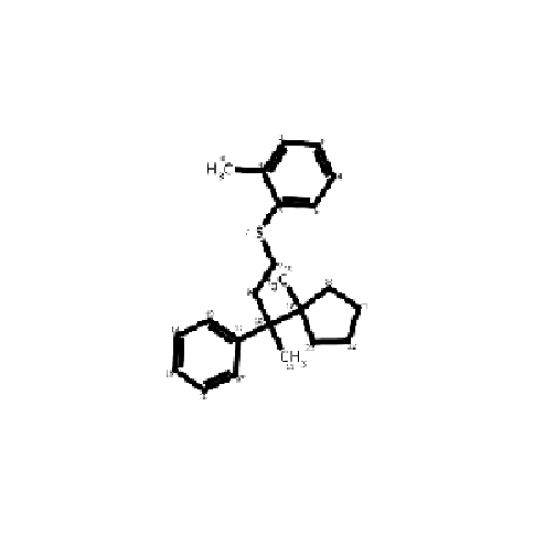 Cc1ccccc1SCCC(C)(c1ccccc1)C1(C)CCCC1